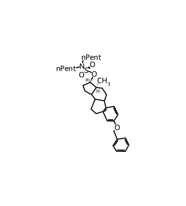 CCCCCN(CCCCC)S(=O)(=O)O[C@@H]1CCC2C3CCc4cc(OCc5ccccc5)ccc4C3CC[C@@]21C